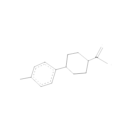 CCC(=O)C1CCC(c2ccc(F)cc2)CC1